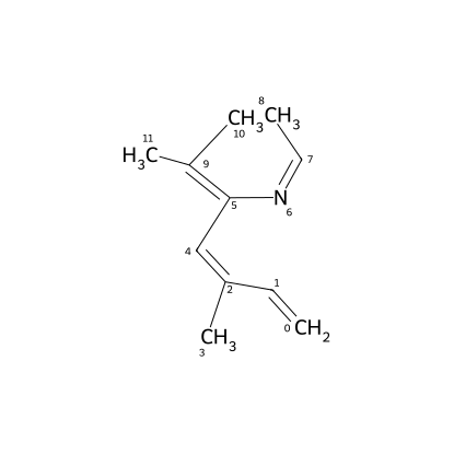 C=C/C(C)=C\C(/N=C\C)=C(C)C